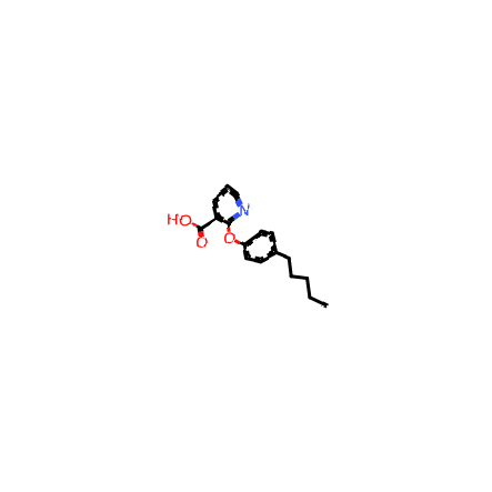 CCCCCc1ccc(Oc2ncccc2C(=O)O)cc1